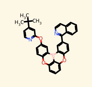 CC(C)(C)c1ccnc(Oc2ccc3c(c2)B2c4cc(-c5nccc6ccccc56)ccc4Oc4cccc(c42)O3)c1